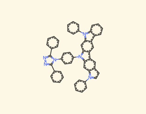 c1ccc(-c2nnc(-c3ccccc3)n2-c2ccc(-n3c4cc5c(ccn5-c5ccccc5)cc4c4cc5c6ccccc6n(-c6ccccc6)c5cc43)cc2)cc1